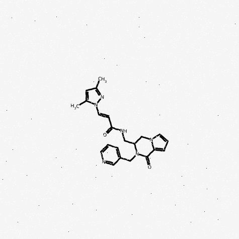 Cc1cc(C)n(C=CC(=O)NCC2Cn3cccc3C(=O)N2Cc2cccnc2)n1